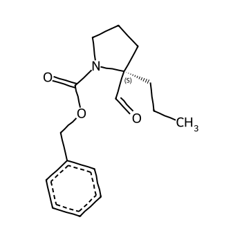 CCC[C@@]1(C=O)CCCN1C(=O)OCc1ccccc1